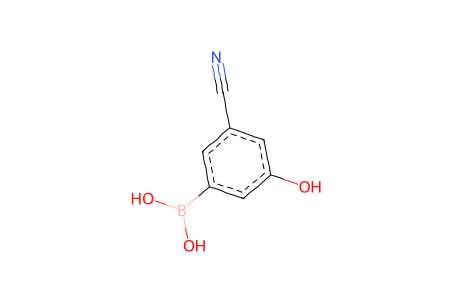 N#Cc1cc(O)cc(B(O)O)c1